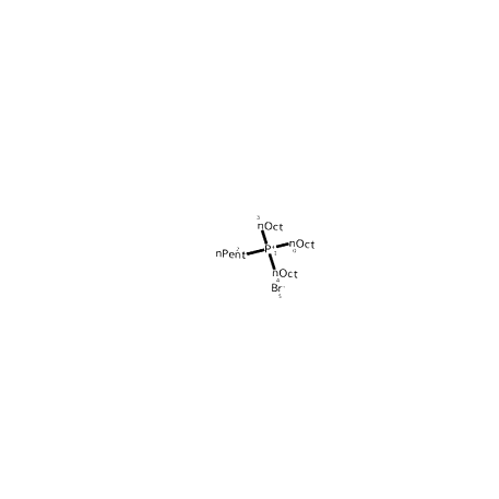 CCCCCCCC[P+](CCCCC)(CCCCCCCC)CCCCCCCC.[Br-]